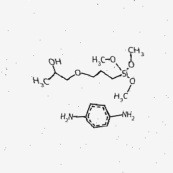 CO[Si](CCCOCC(C)O)(OC)OC.Nc1ccc(N)cc1